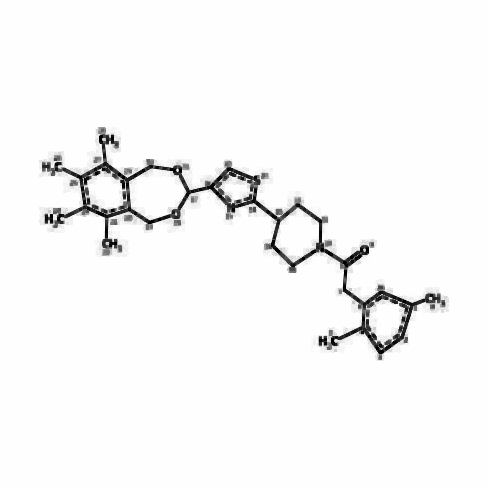 Cc1ccc(C)c(CC(=O)N2CCC(c3nc(C4OCc5c(C)c(C)c(C)c(C)c5CO4)cs3)CC2)c1